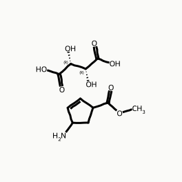 COC(=O)C1C=CC(N)C1.O=C(O)[C@H](O)[C@@H](O)C(=O)O